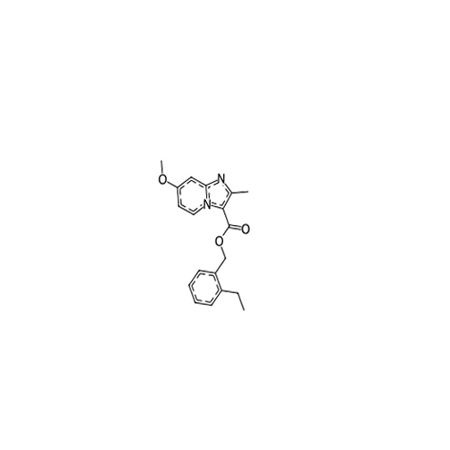 CCc1ccccc1COC(=O)c1c(C)nc2cc(OC)ccn12